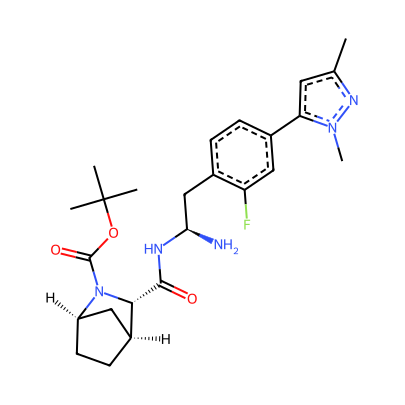 Cc1cc(-c2ccc(C[C@@H](N)NC(=O)[C@@H]3[C@H]4CC[C@H](C4)N3C(=O)OC(C)(C)C)c(F)c2)n(C)n1